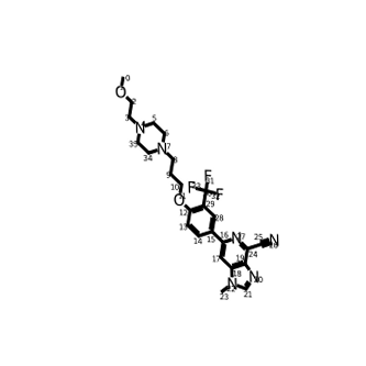 COCCN1CCN(CCCOc2ccc(-c3cc4c(ncn4C)c(C#N)n3)cc2C(F)(F)F)CC1